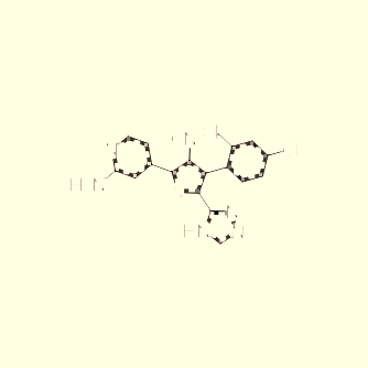 N#Cc1c(-c2ccnc(N)c2)sc(-c2nnc[nH]2)c1-c1ccc(Cl)cc1Cl